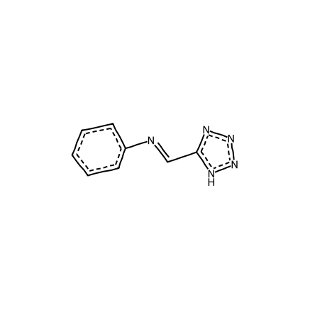 C(=N\c1ccccc1)/c1nnn[nH]1